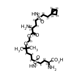 CC(C)(CCCS(=N)(=O)CC[C@H](N)C(=O)O)OCOC(=O)[C@@H](N)CCS(=N)(=O)CCC12CC(C1)C2